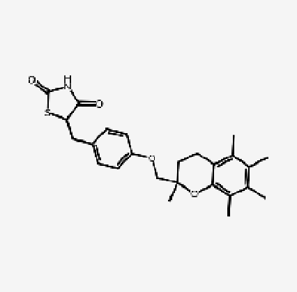 Cc1c(C)c(C)c2c(c1C)CCC(C)(COc1ccc(CC3SC(=O)NC3=O)cc1)O2